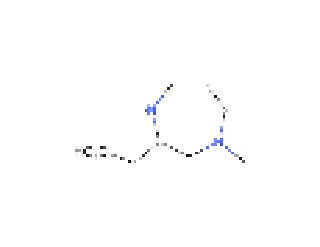 CN1CCC[N]C(CC(=O)O)C1